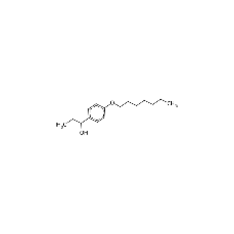 CCCCCCCOc1ccc(C(O)CC)cc1